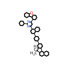 CC1(C)c2cc(-c3ccc(-c4ccc(-c5cc(-c6cccc7oc8ccccc8c67)nc(-c6ccccc6)n5)c5ccccc45)cc3)ccc2-c2c1ccc1ccccc21